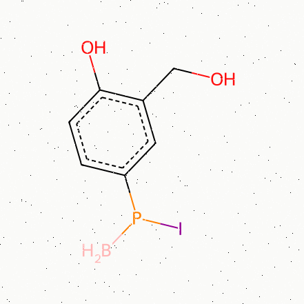 BP(I)c1ccc(O)c(CO)c1